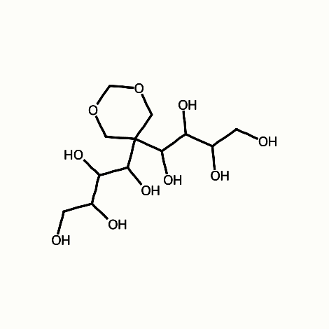 OCC(O)C(O)C(O)C1(C(O)C(O)C(O)CO)COCOC1